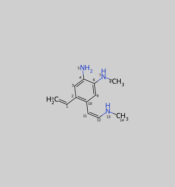 C=Cc1cc(N)c(NC)cc1/C=C\NC